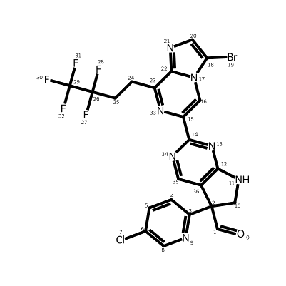 O=CC1(c2ccc(Cl)cn2)CNc2nc(-c3cn4c(Br)cnc4c(CCC(F)(F)C(F)(F)F)n3)ncc21